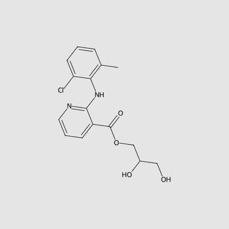 Cc1cccc(Cl)c1Nc1ncccc1C(=O)OCC(O)CO